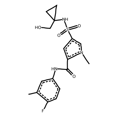 Cc1cc(NC(=O)c2cc(S(=O)(=O)NC3(CO)CC3)cn2C)ccc1F